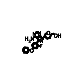 Nc1ncnc2c1c(-c1ccc(Oc3ccccc3)cc1F)nn2C1CCC(CO)OC1